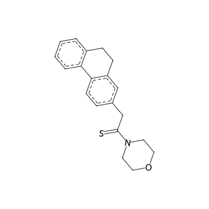 S=C(Cc1ccc2c(c1)CCc1ccccc1-2)N1CCOCC1